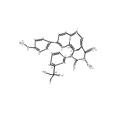 C=C1c2cnc3ccc(-c4ccc(OC)nc4)nc3c2N(c2cccc(C(F)(F)F)c2)C(=O)N1C